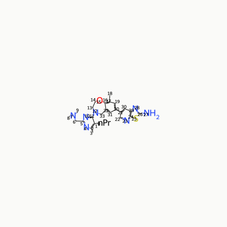 CCCc1c(C)nc(CN(C)C)nc1N1CCOc2c(C)cc(-c3cnc4sc(N)nc4c3)cc2C1